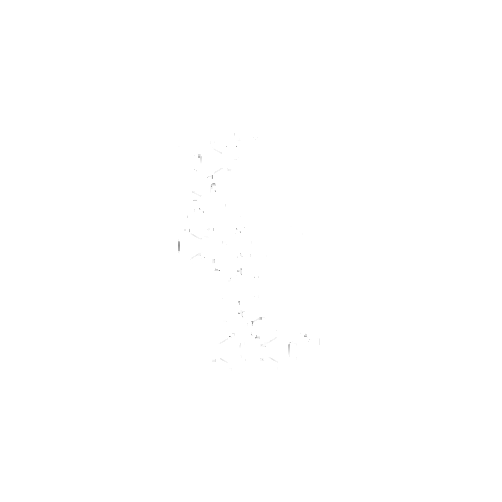 CCCCN1CCC(N(Cc2cccc(C(C)CC(C)N3CCC(N(Cc4ccccc4)C(=O)Nc4cccc(SC)c4)CC3)c2)C(=O)Nc2cc(F)cc(C(F)(F)F)c2)CC1